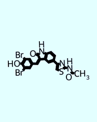 CC(=O)Nc1nc(-c2ccc3c(c2)C(=Cc2cc(Br)c(O)c(Br)c2)C(=O)N3)cs1